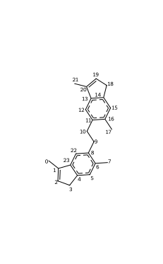 CC1=CCc2cc(C)c(CCc3cc4c(cc3C)CC=C4C)cc21